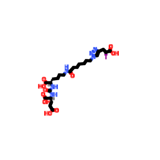 O=C(O)CC[C@H](NC(=O)N[C@@H](CCCCNC(=O)CCCCCCn1cc(CC(I)C(=O)O)nn1)C(=O)O)C(=O)O